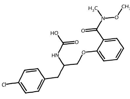 CON(C)C(=O)c1ccccc1OCC(Cc1ccc(Cl)cc1)NC(=O)O